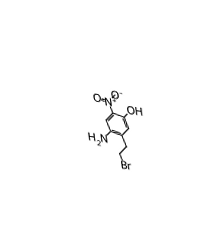 Nc1cc([N+](=O)[O-])c(O)cc1CCBr